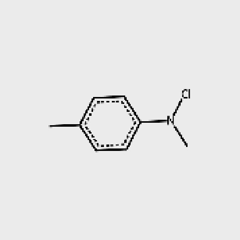 Cc1ccc(N(C)Cl)cc1